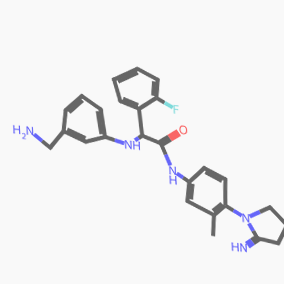 Cc1cc(NC(=O)C(Nc2cccc(CN)c2)c2ccccc2F)ccc1N1CCCC1=N